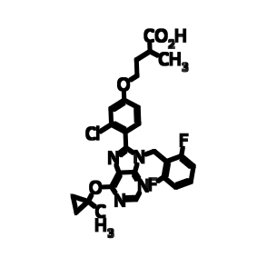 CC(CCOc1ccc(-c2nc3c(OC4(C)CC4)ncnc3n2Cc2c(F)cccc2F)c(Cl)c1)C(=O)O